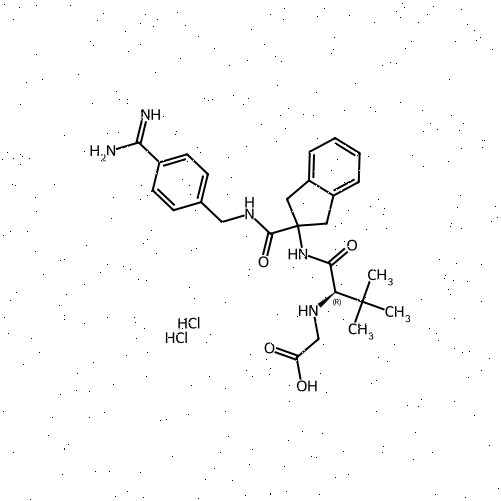 CC(C)(C)[C@@H](NCC(=O)O)C(=O)NC1(C(=O)NCc2ccc(C(=N)N)cc2)Cc2ccccc2C1.Cl.Cl